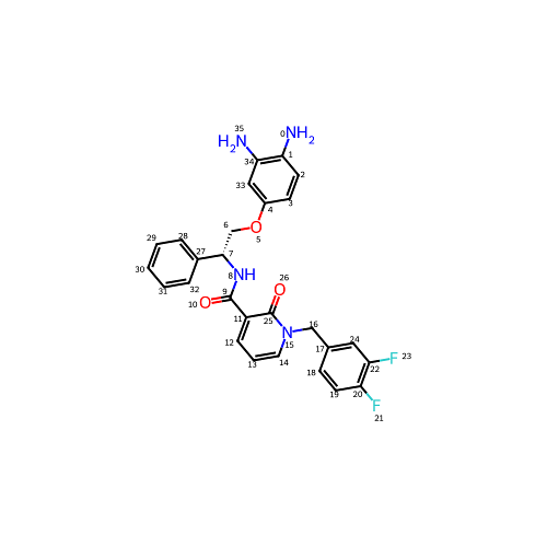 Nc1ccc(OC[C@H](NC(=O)c2cccn(Cc3ccc(F)c(F)c3)c2=O)c2ccccc2)cc1N